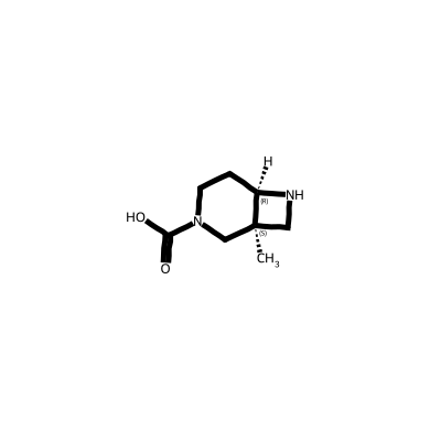 C[C@@]12CN[C@@H]1CCN(C(=O)O)C2